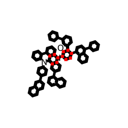 c1ccc(-c2ccc(-c3ccc(N(c4ccc(-c5cccc6ccccc56)cc4)c4cccc(-c5ccccc5N(c5ccc(-c6ccc7ccccc7c6)cc5)c5ccc(-c6cccc7c6oc6c(-c8ccccc8)cccc67)cc5)c4)cc3)c3ccccc23)cc1